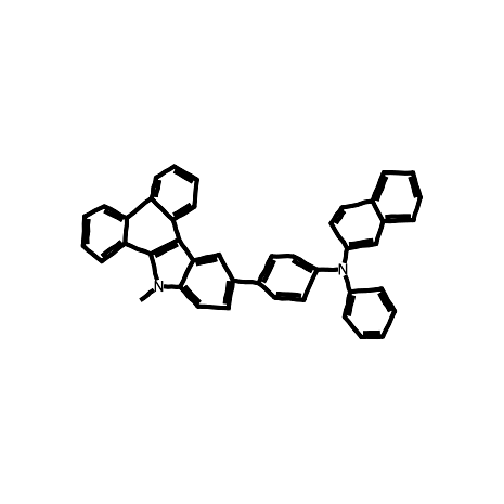 Cn1c2ccc(-c3ccc(N(c4ccccc4)c4ccc5ccccc5c4)cc3)cc2c2c3ccccc3c3ccccc3c21